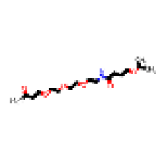 CC(=O)CCOCCOCCOCCNC(=O)CCCOC(C)C